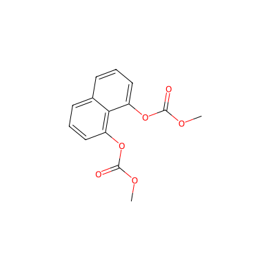 COC(=O)Oc1cccc2cccc(OC(=O)OC)c12